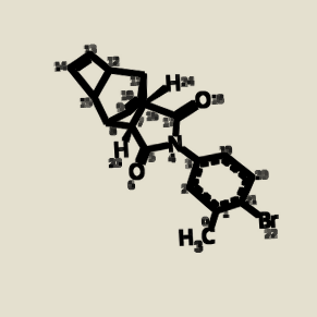 Cc1cc(N2C(=O)[C@@H]3C4C=CC(C5C=CC54)[C@@H]3C2=O)ccc1Br